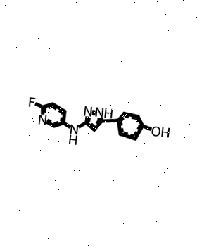 Oc1ccc(-c2cc(Nc3ccc(F)nc3)n[nH]2)cc1